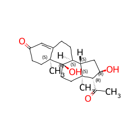 CC(=O)[C@H]1[C@H](O)C[C@H]2[C@@H]3CCC4=CC(=O)CC[C@]4(C)[C@@]3(O)CC[C@@]21C